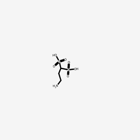 NCCC(S(=O)(=O)O)S(=O)(=O)O